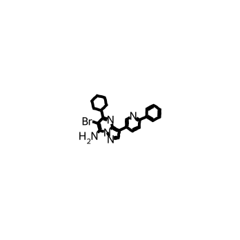 Nc1c(Br)c(C2CCCCC2)nc2c(-c3ccc(-c4ccccc4)nc3)cnn12